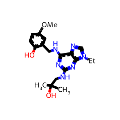 CCn1cnc2c(NCc3cc(OC)ccc3O)nc(NCC(C)(C)O)nc21